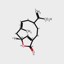 C=C(C(=O)O)C1C/C=C(\C)C[C@@H]2C=C(CC1)C(=O)O2